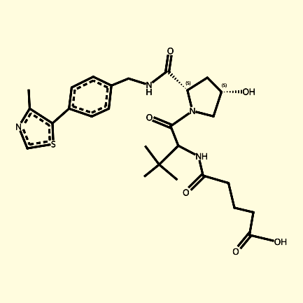 Cc1ncsc1-c1ccc(CNC(=O)[C@@H]2C[C@H](O)CN2C(=O)C(NC(=O)CCCC(=O)O)C(C)(C)C)cc1